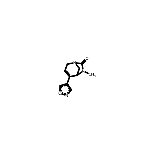 CN1C(=O)N2CC=C(c3cnoc3)C1C2